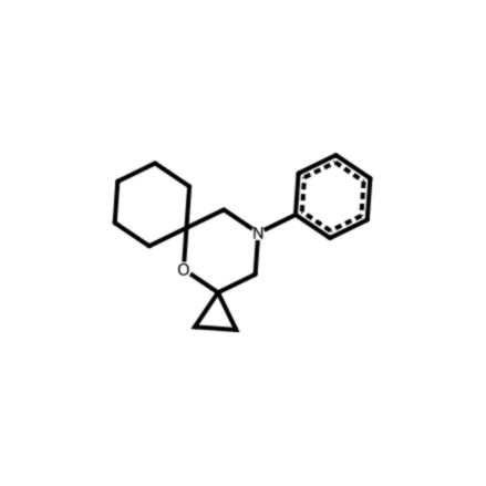 c1ccc(N2CC3(CCCCC3)OC3(CC3)C2)cc1